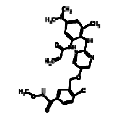 C=CC(=O)Nc1cc(N(C)C)cc(C)c1Nc1ncc(OCc2cc(C(=O)NOC)ccc2Cl)cn1